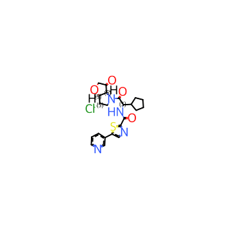 O=C(N[C@H](C(=O)N1C[C@H](Cl)[C@H]2OCC(=O)[C@H]21)C1CCCC1)c1ncc(-c2cccnc2)s1